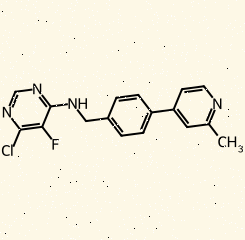 Cc1cc(-c2ccc(CNc3ncnc(Cl)c3F)cc2)ccn1